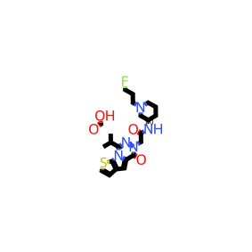 CC(C)c1nn(CC(=O)N[C@@H]2CCCN(CCCF)C2)c(=O)c2cc3ccsc3n12.O=CO